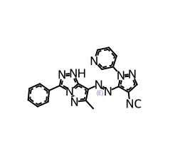 [C-]#[N+]c1cnn(-c2cccnc2)c1/N=N/c1c(C)nn2c(-c3ccccc3)n[nH]c12